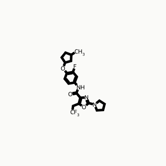 CC1CCC(Oc2ccc(NC(=O)c3nc(N4CCCC4)oc3CC(F)(F)F)cc2F)C1